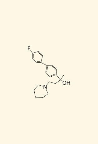 CC(O)(CCN1CCCCC1)c1ccc(-c2ccc(F)cc2)cc1